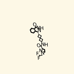 O=C(N[C@H]1CC2(C1)C[C@H](c1n[nH]c(=O)c3ccccc31)C2)c1ccn(CC(F)F)n1